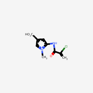 C=C(Cl)C(=O)Nc1cc(C(=O)O)cn1C